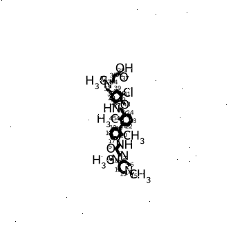 Cc1c(NC(=O)c2nc3c(n2C)CCN(C)C3)cccc1-c1cccc(C2Nc3cc(CN(C)CCC(=O)O)cc(Cl)c3O2)c1C